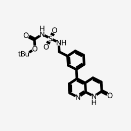 CC(C)(C)OC(=O)NS(=O)(=O)NCc1cccc(-c2ccnc3[nH]c(=O)ccc23)c1